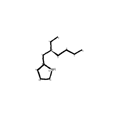 CCCC[C@H](CC)CC1CCCN1